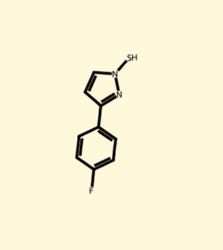 Fc1ccc(-c2ccn(S)n2)cc1